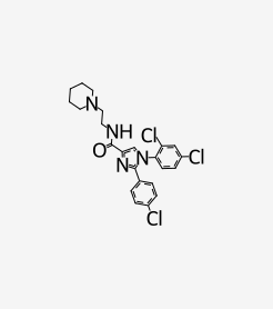 O=C(NCCN1CCCCC1)c1cn(-c2ccc(Cl)cc2Cl)c(-c2ccc(Cl)cc2)n1